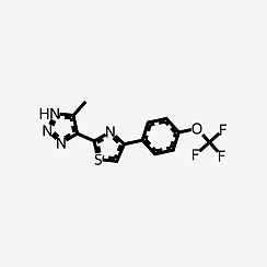 Cc1[nH]nnc1-c1nc(-c2ccc(OC(F)(F)F)cc2)cs1